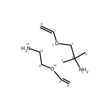 C=COCC(C)(C)N.C=COCCN